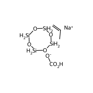 C=CC.O1[SiH2]O[SiH2]O[SiH2]O[SiH2]1.O=C([O-])O.[Na+]